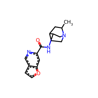 CC1CC2CCN1CC2NC(=O)c1cc2occc2cn1